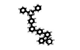 c1ccc(-c2nc(-c3ccccc3)nc(-c3ccc(-c4cccc(-c5ccc(-c6cccc7c6-c6ccccc6C76CCCCC6)cc5)c4)cc3)n2)cc1